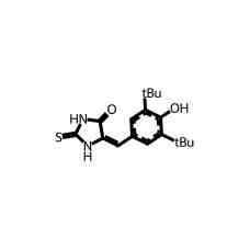 CC(C)(C)c1cc(C=C2NC(=S)NC2=O)cc(C(C)(C)C)c1O